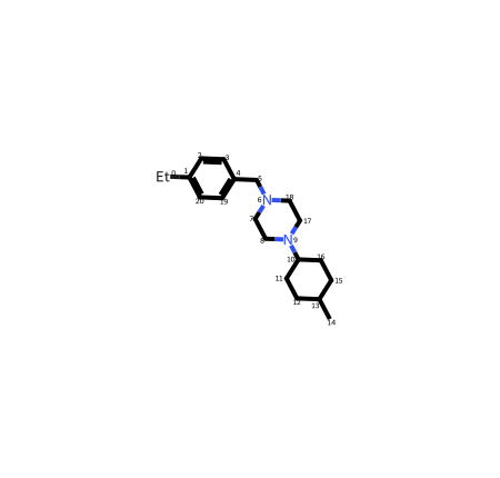 CCc1ccc(CN2CCN(C3CCC(C)CC3)CC2)cc1